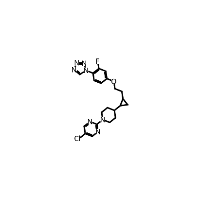 Fc1cc(OCCC2CC2C2CCN(c3ncc(Cl)cn3)CC2)ccc1-n1cnnn1